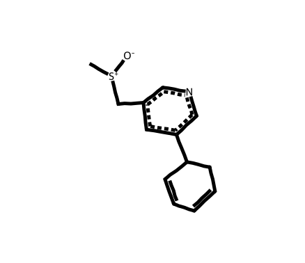 C[S+]([O-])Cc1cncc(C2C=CC=CC2)c1